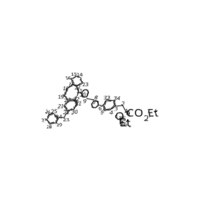 CCOC(=O)C(Cc1ccc(OCCOC2c3ccccc3C=Cc3cc(Cc4ccccc4)ccc32)cc1)OCC